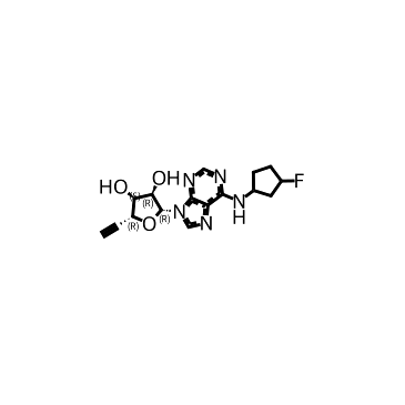 C#C[C@H]1O[C@@H](n2cnc3c(NC4CCC(F)C4)ncnc32)[C@H](O)[C@@H]1O